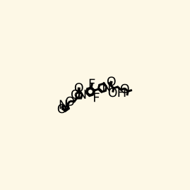 CC(C)OCCC(O)C(=O)N1CC=C(c2c(F)cc(N3CC(COc4ccon4)OC3=O)cc2F)CC1